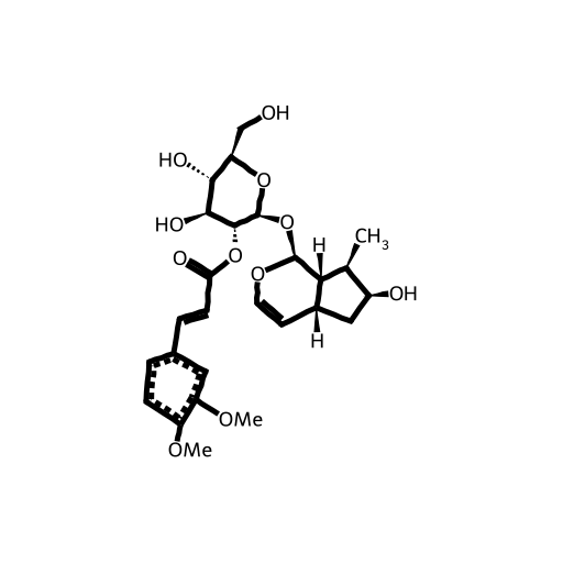 COc1ccc(/C=C/C(=O)O[C@H]2[C@H](O[C@@H]3OC=C[C@H]4C[C@H](O)[C@H](C)[C@@H]34)O[C@H](CO)[C@@H](O)[C@@H]2O)cc1OC